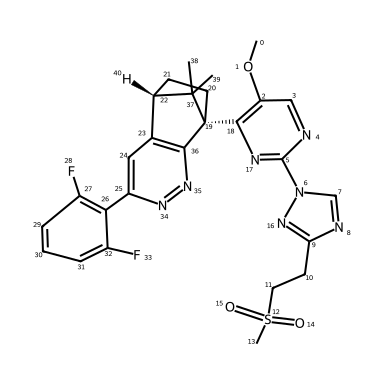 COc1cnc(-n2cnc(CCS(C)(=O)=O)n2)nc1[C@]12CC[C@@H](c3cc(-c4c(F)cccc4F)nnc31)C2(C)C